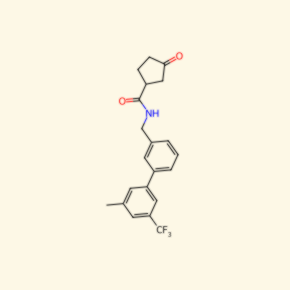 Cc1cc(-c2cccc(CNC(=O)C3CCC(=O)C3)c2)cc(C(F)(F)F)c1